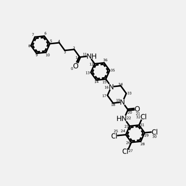 O=C(CCCc1ccccc1)Nc1ccc(N2CCN(C(=O)Nc3c(Cl)c(Cl)cc(Cl)c3Cl)CC2)cc1